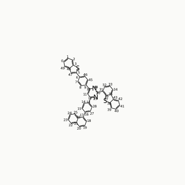 c1ccc2sc(-c3ccc(-c4cc(-c5ccc(-c6cccc7ccccc67)cc5)nc(-c5cccc6c5sc5ccccc56)n4)cc3)cc2c1